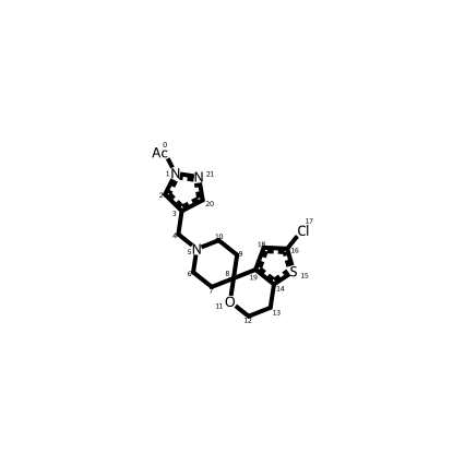 CC(=O)n1cc(CN2CCC3(CC2)OCCc2sc(Cl)cc23)cn1